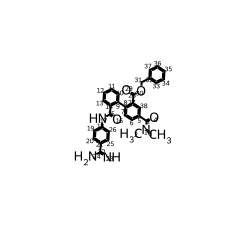 CN(C)C(=O)c1ccc(-c2ccccc2C(=O)Nc2ccc(C(=N)N)cc2)c(C(=O)OCc2ccccc2)c1